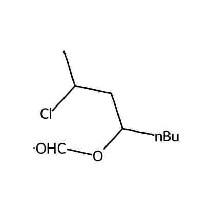 CCCCC(CC(C)Cl)O[C]=O